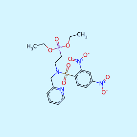 CCOP(=O)(CCN(Cc1ccccn1)S(=O)(=O)c1ccc([N+](=O)[O-])cc1[N+](=O)[O-])OCC